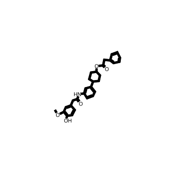 COc1cc(CC(=O)Nc2cccc(C3CCC(OC(=O)Cc4ccccc4)CC3)c2)ccc1O